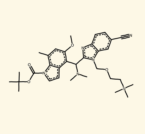 COc1cc(C)c2c(ccn2C(=O)OC(C)(C)C)c1C(c1nc2ccc(C#N)cc2n1COCC[Si](C)(C)C)N(C)C